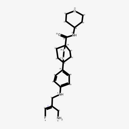 NC/C(=C\F)CNc1ccc(C23CCC(C(=O)NC4CCOCC4)(CC2)CC3)cc1